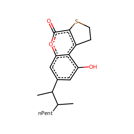 CCCCCC(C)C(C)c1cc(O)c2c3c(c(=O)oc2c1)SCC3